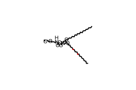 CCCCCCCCCCCCCCCCCCOC1CN(C(=O)OC(=O)NCCCOCCOC)CC1OCCCCCCCCCCCCCCCCCC